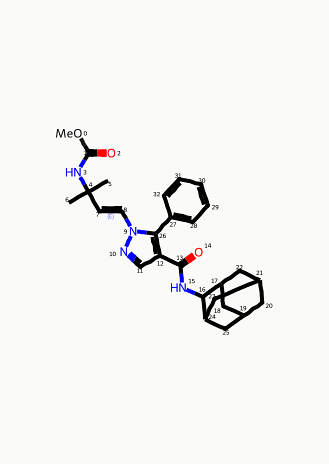 COC(=O)NC(C)(C)/C=C/n1ncc(C(=O)NC2C3CC4CC(C3)CC2C4)c1-c1ccccc1